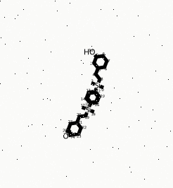 C[Si](C)(CCC1CCCC(O)C1)c1ccc([Si](C)(C)CCC2CCC3OC3C2)cc1